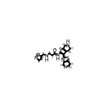 O=C(CCNCc1ccno1)Nc1sc2c(c1-c1nc3cnccc3s1)CCNC2